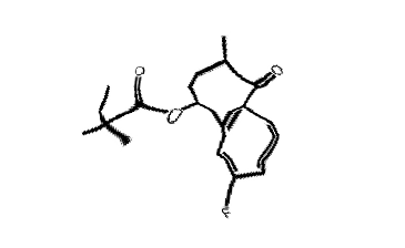 CC1CC(OC(=O)C(C)(C)C)c2cc(F)ccc2C1=O